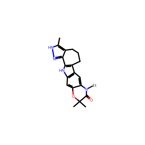 CCN1C(=O)C(C)(C)Oc2cc3[nH]c4c(c3cc21)CCCc1c-4n[nH]c1C